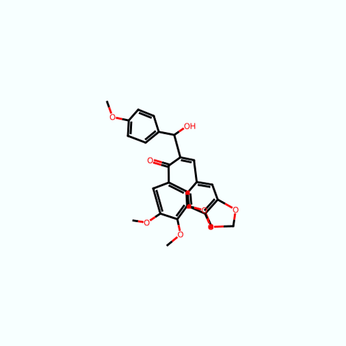 COc1ccc(C(O)/C(=C/c2ccc3c(c2)OCO3)C(=O)c2cc(OC)c(OC)c(OC)c2)cc1